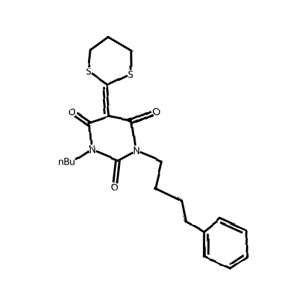 CCCCN1C(=O)C(=C2SCCCS2)C(=O)N(CCCCc2ccccc2)C1=O